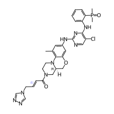 Cc1cc(Nc2ncc(Cl)c(Nc3ccccc3P(C)(C)=O)n2)cc2c1N1CCN(C(=O)/C=C/Cn3cnnc3)C[C@@H]1CO2